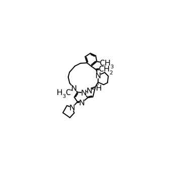 C=C1c2c(C)cccc2CCCCCN(C)c2cc(N3CCCC3)nc3cc(nn23)[C@@H]2CCCCN12